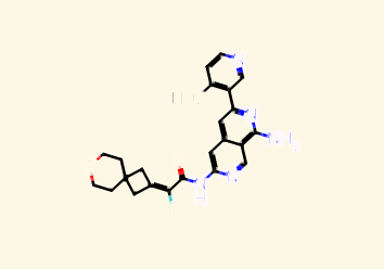 Cc1ccncc1-c1cc2cc(NC(=O)C(F)=C3CC4(CCOCC4)C3)ncc2c(N)n1